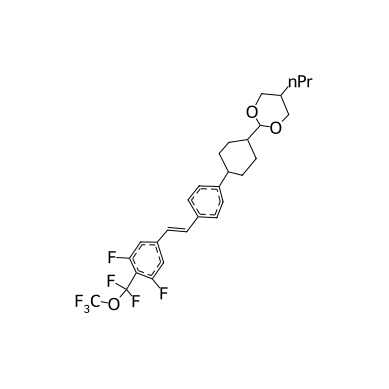 CCCC1COC(C2CCC(c3ccc(/C=C/c4cc(F)c(C(F)(F)OC(F)(F)F)c(F)c4)cc3)CC2)OC1